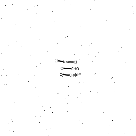 O=C[O-].O=C[O-].[Cl][Ni][Cl].[Ni+2]